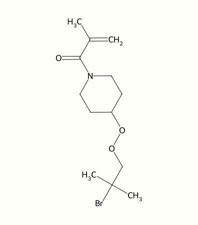 C=C(C)C(=O)N1CCC(OOCC(C)(C)Br)CC1